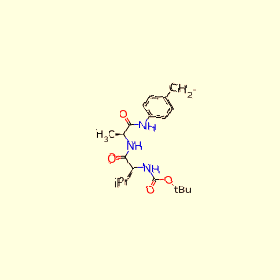 [CH2]c1ccc(NC(=O)[C@H](C)NC(=O)[C@@H](NC(=O)OC(C)(C)C)C(C)C)cc1